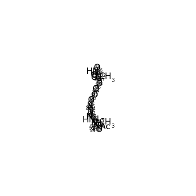 CC(=O)c1c(C)c2cnc(Nc3ccc(N4CCN(CCOCCOCCOCCOc5cc(C)n(C6CCC(=O)NC6=O)c(=O)c5)CC4)cn3)nc2n(C2CCCC2)c1=O